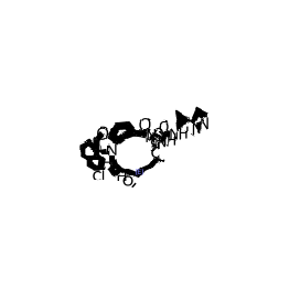 CO[C@H]1/C=C/C[C@H](C)C[S@@](=O)(NC(=O)N[C@@H]2C[C@H]2c2ccnn2C)=NC(=O)c2ccc3c(c2)N(C[C@@H]2CC[C@H]21)C[C@@]1(CCCc2cc(Cl)ccc21)CO3